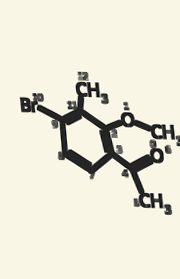 COc1c(C(C)=O)ccc(Br)c1C